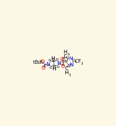 Cc1nc(C(F)(F)F)nc(C)c1S(=O)(=O)N1C[C@H]2CN(C(=O)OC(C)(C)C)C[C@@H]2C1